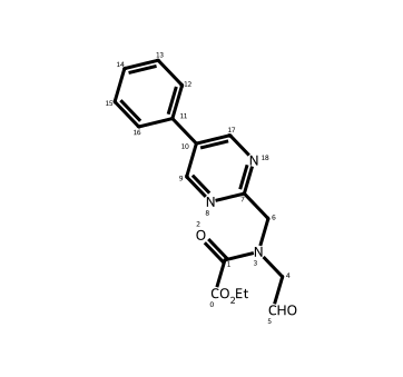 CCOC(=O)C(=O)N(CC=O)Cc1ncc(-c2ccccc2)cn1